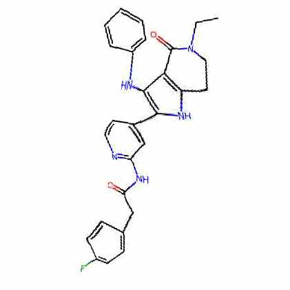 CCN1CCc2[nH]c(-c3ccnc(NC(=O)Cc4ccc(F)cc4)c3)c(Nc3ccccc3)c2C1=O